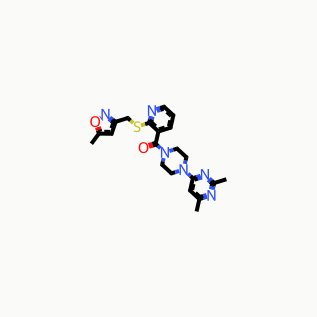 Cc1cc(N2CCN(C(=O)c3cccnc3SCc3cc(C)on3)CC2)nc(C)n1